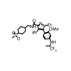 CCn1nc(C(=O)NCC2CCC(S(C)(=O)=O)CC2)c(C(C)C)c1-c1ccc(NC(C)C(F)(F)F)cc1OC